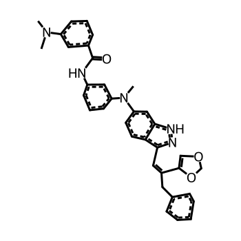 CN(C)c1cccc(C(=O)Nc2cccc(N(C)c3ccc4c(C=C(Cc5ccccc5)C5=COCO5)n[nH]c4c3)c2)c1